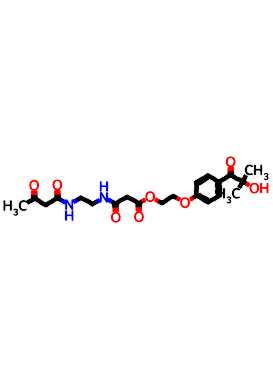 CC(=O)CC(=O)NCCNC(=O)CC(=O)OCCOc1ccc(C(=O)C(C)(C)O)cc1